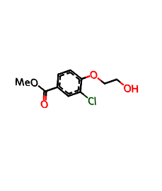 COC(=O)c1ccc(OCCO)c(Cl)c1